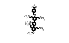 COc1cc(CCN)c(-c2ccc(-c3cc(CCN)c(OCc4ccc(C(F)(F)F)cc4)c(CCN)c3)c(OC)c2)c(CCN)c1